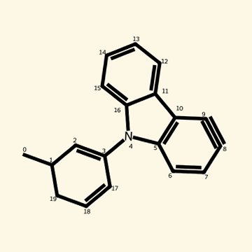 CC1C=C(n2c3ccc#cc3c3ccccc32)C=CC1